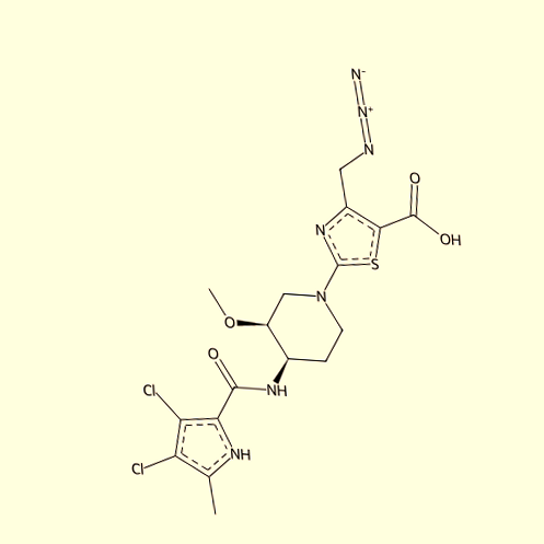 CO[C@H]1CN(c2nc(CN=[N+]=[N-])c(C(=O)O)s2)CC[C@H]1NC(=O)c1[nH]c(C)c(Cl)c1Cl